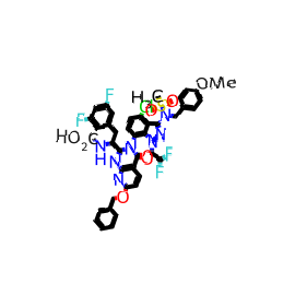 COc1ccc(CN(c2nn(CC(F)F)c3c(-n4c(C(Cc5cc(F)cc(F)c5)NC(=O)O)nc5nc(OCc6ccccc6)ccc5c4=O)ccc(Cl)c23)S(C)(=O)=O)cc1